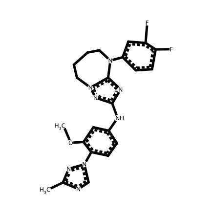 COc1cc(Nc2nc3n(n2)CCCCN3c2ccc(F)c(F)c2)ccc1-n1cnc(C)n1